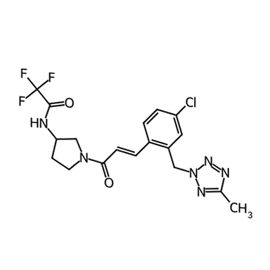 Cc1nnn(Cc2cc(Cl)ccc2C=CC(=O)N2CCC(NC(=O)C(F)(F)F)C2)n1